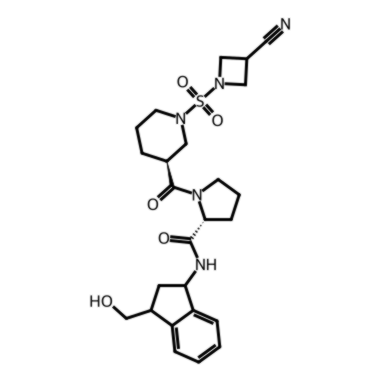 N#CC1CN(S(=O)(=O)N2CCC[C@H](C(=O)N3CCC[C@@H]3C(=O)NC3CC(CO)c4ccccc43)C2)C1